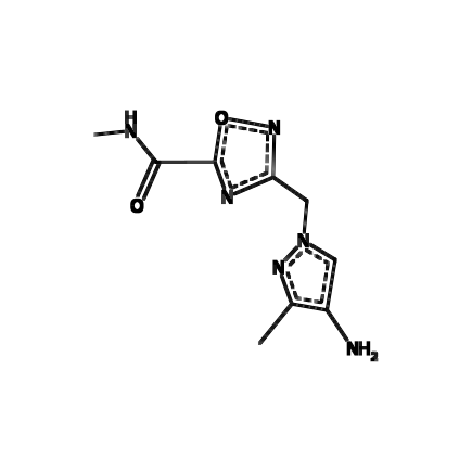 CNC(=O)c1nc(Cn2cc(N)c(C)n2)no1